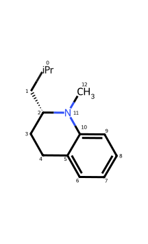 CC(C)C[C@H]1CCc2ccccc2N1C